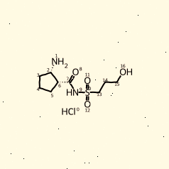 Cl.N[C@H]1CCC[C@H]1C(=O)NS(=O)(=O)CCCO